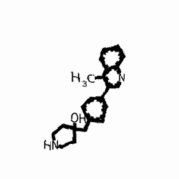 Cc1c(-c2ccc(CC3(O)CCNCC3)cc2)cnc2ccccc12